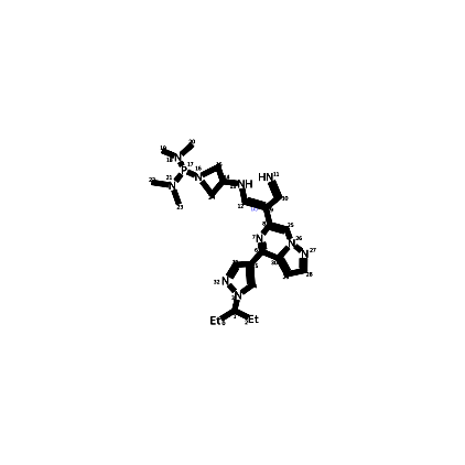 CCC(CC)n1cc(-c2nc(/C(C=N)=C/NC3CN(P(N(C)C)N(C)C)C3)cn3nccc23)cn1